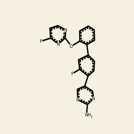 Nc1ncc(-c2ccc(-c3ccccc3Oc3nccc(F)n3)cc2F)cn1